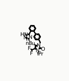 CCCCc1c(C(F)F)n(C(C)C)c(=O)n1Cc1ccc(-c2ccccc2-c2nnn[nH]2)cc1